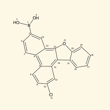 OB(O)c1ccc2c3ccc(Cl)cc3c3c4ccccc4oc3c2c1